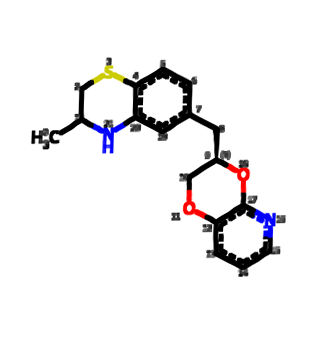 CC1CSc2ccc(C[C@@H]3COc4cccnc4O3)cc2N1